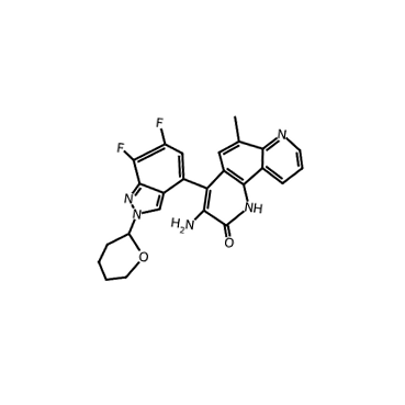 Cc1cc2c(-c3cc(F)c(F)c4nn(C5CCCCO5)cc34)c(N)c(=O)[nH]c2c2cccnc12